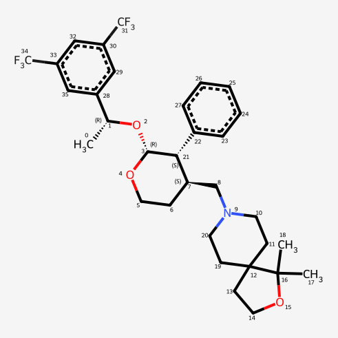 C[C@@H](O[C@H]1OCC[C@H](CN2CCC3(CCOC3(C)C)CC2)[C@H]1c1ccccc1)c1cc(C(F)(F)F)cc(C(F)(F)F)c1